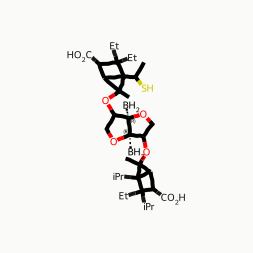 B[C@]12OCC(OC3(C)C4C(C(=O)O)C(CC)(C(C)C)C43C(C)C)[C@@]1(B)OCC2OC1(C)C2C(C(=O)O)C(CC)(CC)C21C(C)S